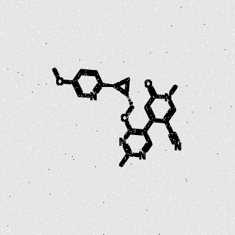 COc1ccc([C@H]2C[C@@H]2COc2nc(C)ncc2-c2cc(=O)n(C)cc2C#N)nc1